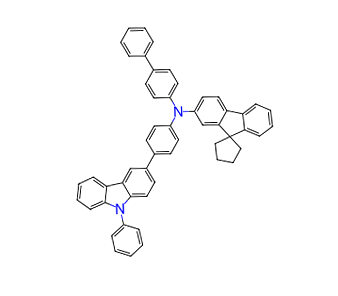 c1ccc(-c2ccc(N(c3ccc(-c4ccc5c(c4)c4ccccc4n5-c4ccccc4)cc3)c3ccc4c(c3)C3(CCCC3)c3ccccc3-4)cc2)cc1